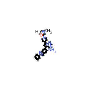 CN(C)CC(=O)N1CCC(c2cc(-c3ccc4cn(-c5ccccc5)nc4c3)c3c(N)ncnn23)CC1